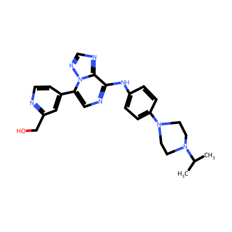 CC(C)N1CCN(c2ccc(Nc3ncc(-c4ccnc(CO)c4)n4ncnc34)cc2)CC1